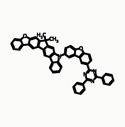 CC1(C)c2cc3oc4ccccc4c3cc2-c2cc3c4ccccc4n(-c4ccc5oc6ccc(-c7nc(-c8ccccc8)nc(-c8ccccc8)n7)cc6c5c4)c3cc21